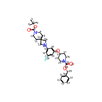 CC(C)(C)OC(=O)N1CCC2(CC1)CN(c1cc(F)cc(OC3CCN(C(=O)OCc4ccccc4)CC3)c1)C2